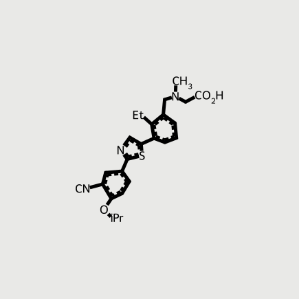 [C-]#[N+]c1cc(-c2ncc(-c3cccc(CN(C)CC(=O)O)c3CC)s2)ccc1OC(C)C